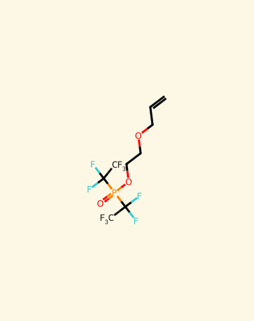 C=CCOCCOP(=O)(C(F)(F)C(F)(F)F)C(F)(F)C(F)(F)F